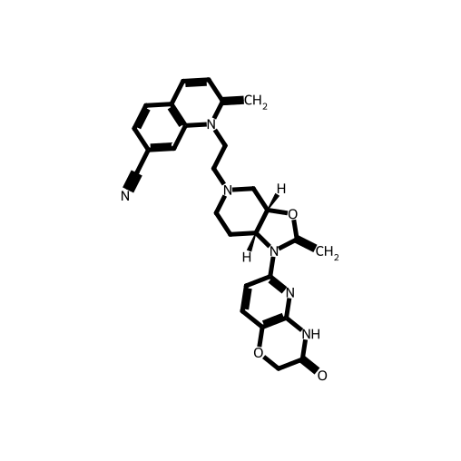 C=C1C=Cc2ccc(C#N)cc2N1CCN1CC[C@@H]2[C@H](C1)OC(=C)N2c1ccc2c(n1)NC(=O)CO2